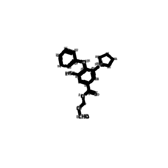 O=COCOC(=S)c1cc(S)c(Oc2ccccc2)c(N2CCCC2)c1